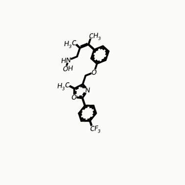 C/C(CNO)=C(\C)c1cccc(OCc2nc(-c3ccc(C(F)(F)F)cc3)oc2C)c1